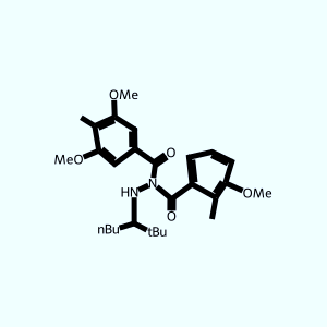 CCCCC(NN(C(=O)c1cc(OC)c(C)c(OC)c1)C(=O)c1cccc(OC)c1C)C(C)(C)C